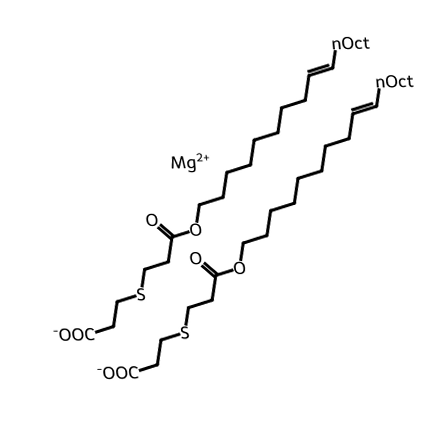 CCCCCCCCC=CCCCCCCCCOC(=O)CCSCCC(=O)[O-].CCCCCCCCC=CCCCCCCCCOC(=O)CCSCCC(=O)[O-].[Mg+2]